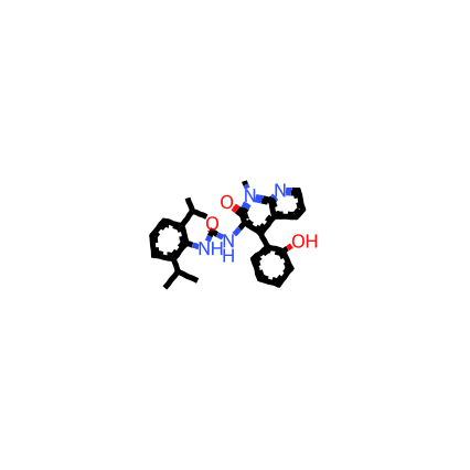 CC(C)c1cccc(C(C)C)c1NC(=O)Nc1c(-c2ccccc2O)c2cccnc2n(C)c1=O